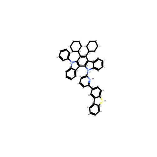 c1ccc(-n2c3ccccc3c3c2c(C2CCCCC2)c(C2CCCCC2)c2c4ccccc4n(-c4cccc(-c5ccc6sc7ccccc7c6c5)n4)c23)cc1